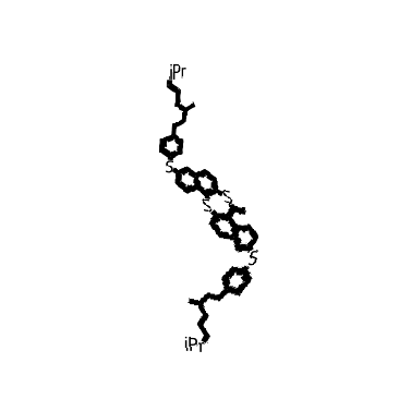 C=C1Sc2ccc3cc(Sc4ccc(CCC(C)CCCC(C)C)cc4)ccc3c2Sc2ccc3cc(Sc4ccc(CCC(C)CCCC(C)C)cc4)ccc3c21